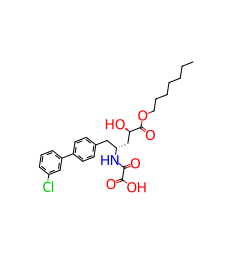 CCCCCCCOC(=O)[C@H](O)C[C@@H](Cc1ccc(-c2cccc(Cl)c2)cc1)NC(=O)C(=O)O